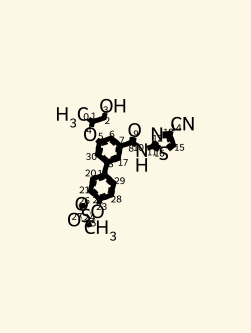 CC(CO)Oc1cc(C(=O)Nc2nc(C#N)cs2)cc(-c2ccc(OS(C)(=O)=O)cc2)c1